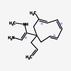 C=CCC1(/C(=C/N)NC)C/C=C/C=C\C=C(/C)C1